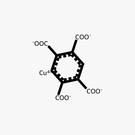 O=C([O-])c1cc(C(=O)[O-])c(C(=O)[O-])cc1C(=O)[O-].[Cu+4]